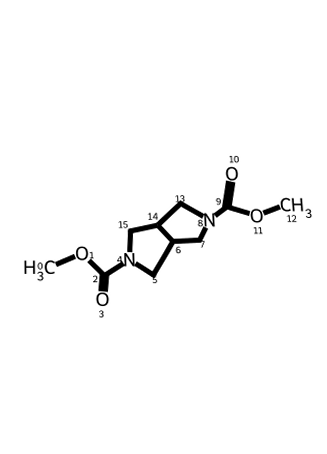 COC(=O)N1CC2CN(C(=O)OC)CC2C1